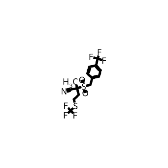 CC(C#N)(CCSC(F)(F)F)S(=O)(=O)Cc1ccc(C(F)(F)F)cc1